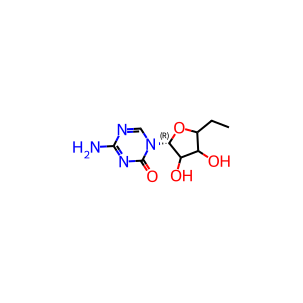 CCC1O[C@@H](n2cnc(N)nc2=O)C(O)C1O